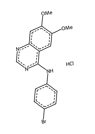 COc1cc2ncnc(Nc3ccc(Br)cc3)c2cc1OC.Cl